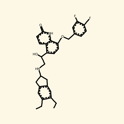 CCc1cc2c(cc1CC)CC(NCC(O)c1ccc(OCc3ccc(F)c(F)c3)c3[nH]c(=O)ccc13)C2